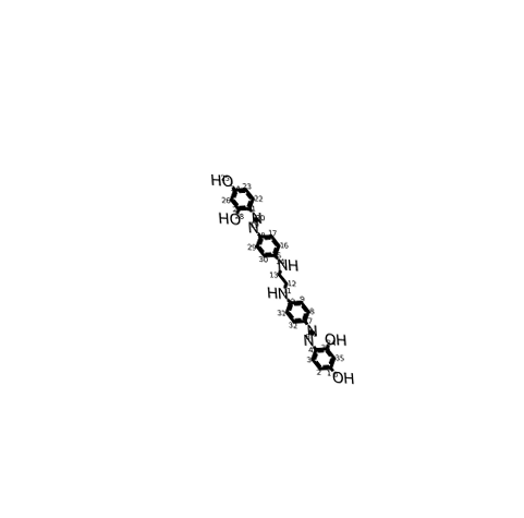 Oc1ccc(/N=N/c2ccc(NCCNc3ccc(/N=N/c4ccc(O)cc4O)cc3)cc2)c(O)c1